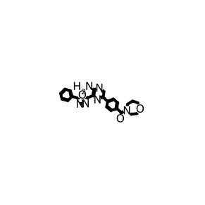 Nc1ncc(-c2ccc(C(=O)N3CCCOCC3)cc2)nc1-c1nnc(-c2ccccc2)o1